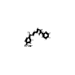 COc1ccc(C(=O)/C=C/c2ccc(-c3ccccc3)o2)cc1